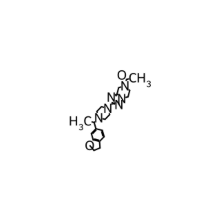 CC(=O)N1CCn2nc(N3CCN(C(C)c4ccc5c(c4)OCC5)CC3)nc2C1